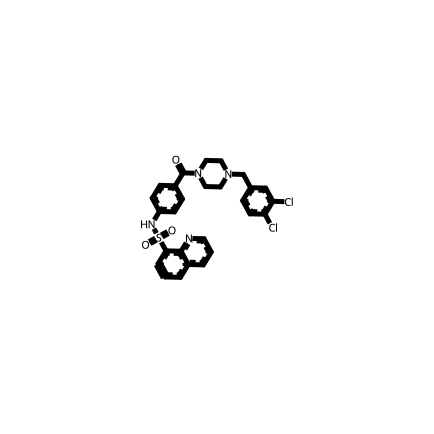 O=C(c1ccc(NS(=O)(=O)c2c#ccc3cccnc23)cc1)N1CCN(Cc2ccc(Cl)c(Cl)c2)CC1